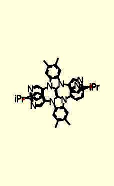 Cc1cc2c(cc1C)N(c1ccc(C(C)C)nc1)C(=C1N(c3ccc(C(C)C)nc3)c3cc(C)c(C)cc3N1c1ccc(C(C)C)nc1)N2c1ccc(C(C)C)nc1